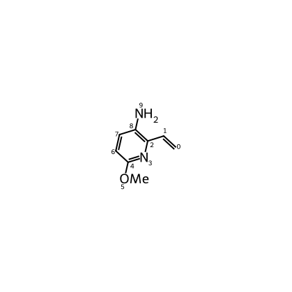 C=Cc1nc(OC)ccc1N